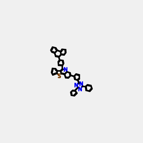 c1ccc(-c2nc(-c3ccccc3)nc(-c3cccc(-c4ccc5c(c4)nc(-c4ccc(-c6cc7ccccc7c7ccccc67)cc4)c4c6ccccc6sc54)c3)n2)cc1